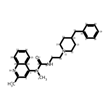 Cc1cc(N(C)C(=O)NCCN2CCC(Cc3ccccc3)CC2)c2ccccc2n1